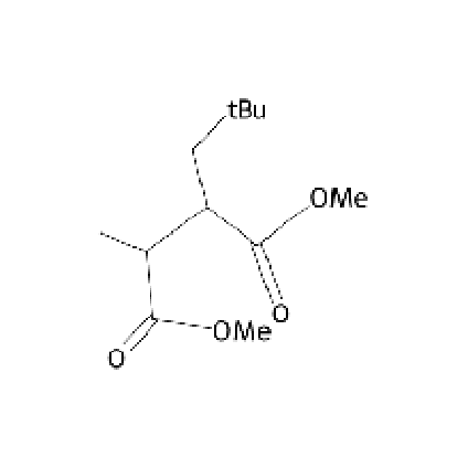 COC(=O)C(C)C(CC(C)(C)C)C(=O)OC